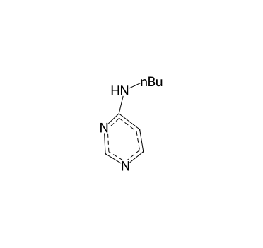 CCCCNc1ccncn1